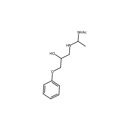 CC(=O)NC(C)NCC(O)COc1ccccc1